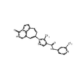 O=C(Nc1ccnc(C(F)(F)F)c1)c1cnn(C2=Cc3c[nH]c(=O)n4ccc(c34)C=C2)c1C(F)(F)F